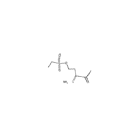 C=C(C)C(=O)CCOS(=O)(=O)CC.N